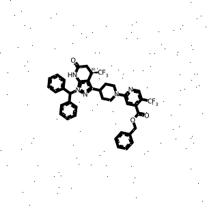 O=C1C[C@@H](C(F)(F)F)c2c(C3CCN(c4cc(C(=O)OCc5ccccc5)c(C(F)(F)F)cn4)CC3)nn(C(c3ccccc3)c3ccccc3)c2N1